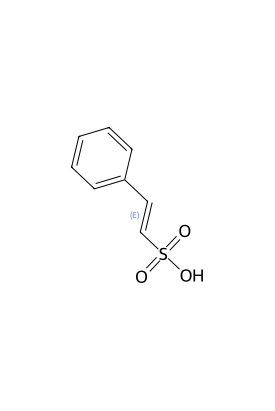 O=S(=O)(O)/C=C/c1ccccc1